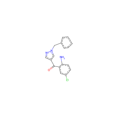 Nc1ccc(Cl)cc1C(=O)c1cnn(Cc2ccccc2)c1